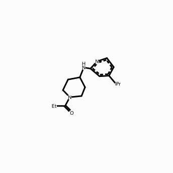 CCC(=O)N1CCC(Nc2cc(C(C)C)ccn2)CC1